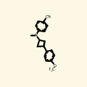 CN(c1ccc(C#N)cc1)C1CC(c2ccc(OC(F)(F)F)cc2)C1